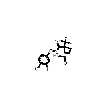 O=CNN(Oc1ccc(Cl)c(F)c1)C(=O)C1(C(F)(F)F)CCC1